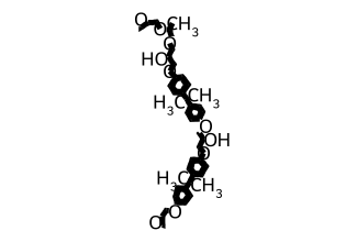 CC(COCC(O)COc1ccc(C(C)(C)c2ccc(OCC(O)COc3ccc(C(C)(C)c4ccc(OCC5CO5)cc4)cc3)cc2)cc1)OCC1CO1